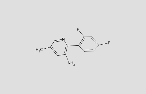 Cc1cnc(-c2ccc(F)cc2F)c(N)c1